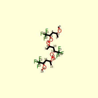 COC(C)CC(OOC(C)CC(OOC(C)CC(OC)C(F)(F)F)C(F)(F)F)C(F)(F)F